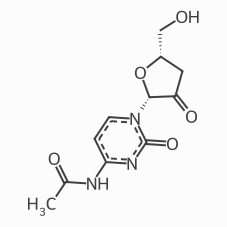 CC(=O)Nc1ccn([C@@H]2O[C@H](CO)CC2=O)c(=O)n1